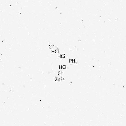 Cl.Cl.Cl.P.[Cl-].[Cl-].[Zn+2]